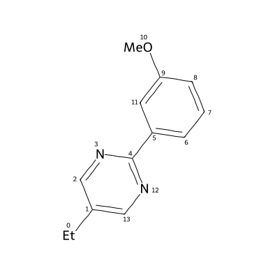 CCc1cnc(-c2cccc(OC)c2)nc1